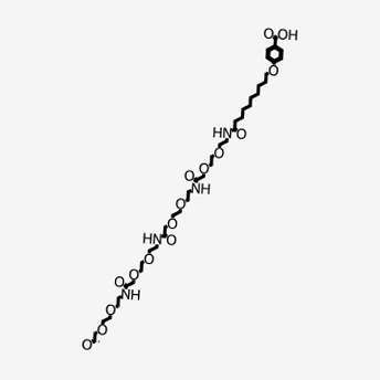 O=[C]COCCOCCNC(=O)COCCOCCNC(=O)COCCOCCNC(=O)COCCOCCNC(=O)CCCCCCCCCOc1ccc(C(=O)O)cc1